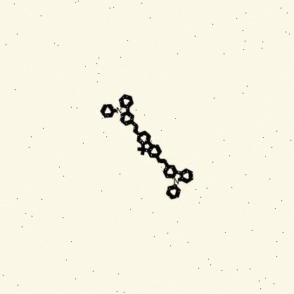 CC1(C)c2cc(/C=C/c3ccc4c(c3)c3ccccc3n4-c3ccccc3)ccc2-c2ccc(/C=C/c3ccc4c(c3)c3ccccc3n4-c3ccccc3)cc21